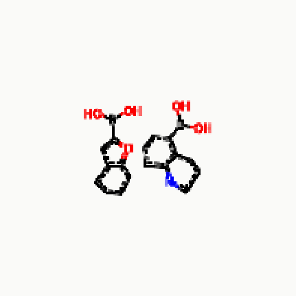 OB(O)c1cc2ccccc2o1.OB(O)c1cccc2ncccc12